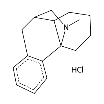 CN1CC2Cc3ccccc3C13CCCCC23.Cl